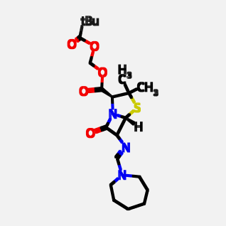 CC(C)(C)C(=O)OCOC(=O)[C@@H]1N2C(=O)C(/N=C/N3CCCCCC3)[C@H]2SC1(C)C